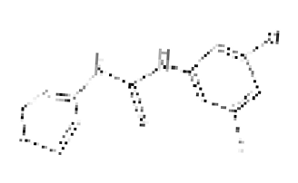 S=C(NC1=CC[CH]C=C1)Nc1cc(Cl)cc(Cl)c1